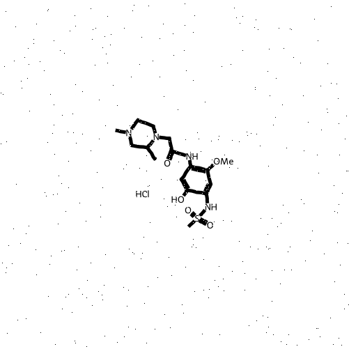 COc1cc(NS(C)(=O)=O)c(O)cc1NC(=O)CN1CCN(C)CC1C.Cl